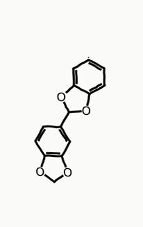 [c]1ccc2c(c1)OC(c1ccc3c(c1)OCO3)O2